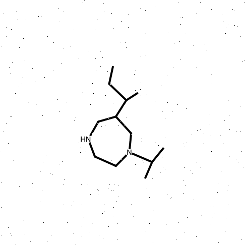 CCC(C)C1CNCCN(C(C)C)C1